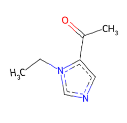 CCn1cncc1C(C)=O